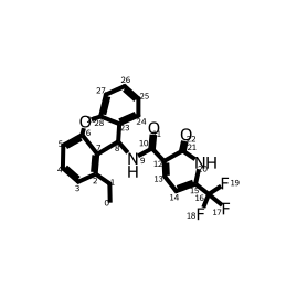 CCc1cccc2c1C(NC(=O)c1ccc(C(F)(F)F)[nH]c1=O)c1ccccc1O2